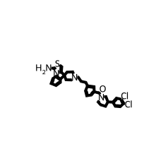 Nc1nc(C2(c3ccccc3)CCN(CCCc3cccc(C(=O)N4CCCC(c5ccc(Cl)c(Cl)c5)C4)c3)CC2)cs1